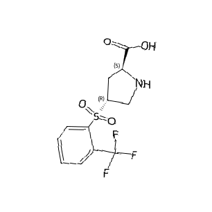 O=C(O)[C@@H]1C[C@@H](S(=O)(=O)c2ccccc2C(F)(F)F)CN1